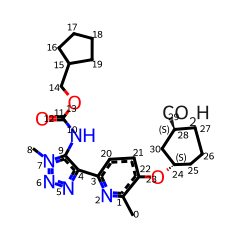 Cc1nc(-c2nnn(C)c2NC(=O)OCC2CCCC2)ccc1O[C@H]1CCC[C@H](C(=O)O)C1